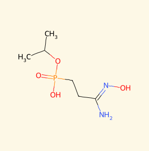 CC(C)OP(=O)(O)CCC(N)=NO